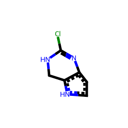 ClC1=Nc2cc[nH]c2CN1